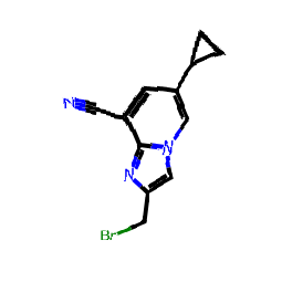 N#Cc1cc(C2CC2)cn2cc(CBr)nc12